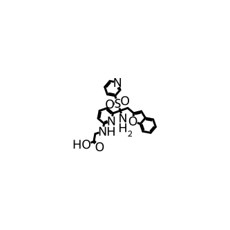 NC(Cc1cc2ccccc2o1)(c1cccc(NCC(=O)O)n1)S(=O)(=O)c1cccnc1